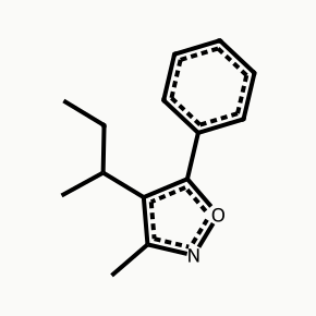 CCC(C)c1c(C)noc1-c1ccccc1